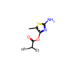 CCCC(CC)C(=O)Oc1nc(N)sc1C